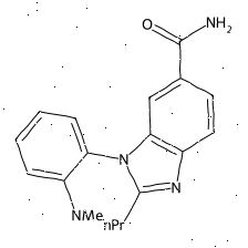 CCCc1nc2ccc(C(N)=O)cc2n1-c1ccccc1NC